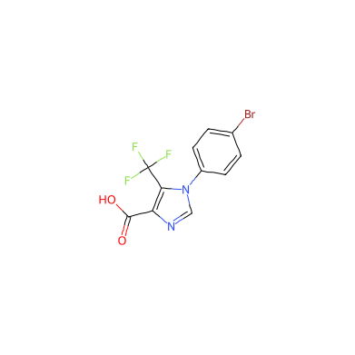 O=C(O)c1ncn(-c2ccc(Br)cc2)c1C(F)(F)F